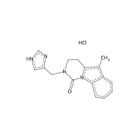 Cc1c2n(c3ccccc13)C(=O)N(Cc1c[nH]cn1)CC2.Cl